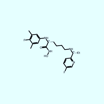 CC[C@@H](NCCCC[C@@H](Nc1cc(C)c(F)c(C)c1)C(=O)NO)c1ccc(F)cn1